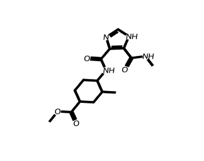 CNC(=O)c1[nH]cnc1C(=O)NC1CCC(C(=O)OC)CC1C